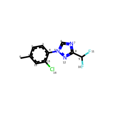 Cc1ccc(-n2cnc(C(F)F)n2)c(Cl)c1